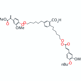 C=C(C(=O)OC)c1ccc(OOCCCCCCc2ccc(CCCCCCOOC(=O)/C=C/c3ccc(OCCCC)c(OC)c3)c(C(=O)O)c2)c(OC)c1